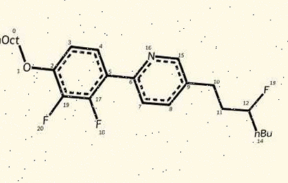 CCCCCCCCOc1ccc(-c2ccc(CCC(F)CCCC)cn2)c(F)c1F